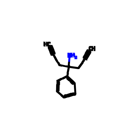 C#CCC(N)(CC#C)c1ccccc1